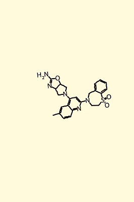 Cc1ccc2nc(N3CCS(=O)(=O)c4ccccc4C3)cc(N3CC4N=C(N)OC4C3)c2c1